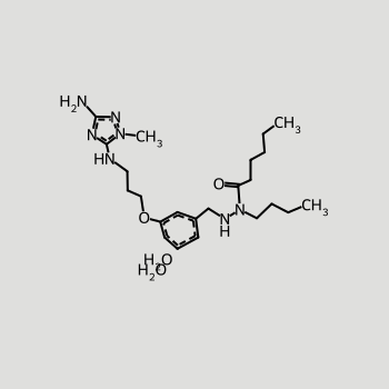 CCCCCC(=O)N(CCCC)NCc1cccc(OCCCNc2nc(N)nn2C)c1.O.O